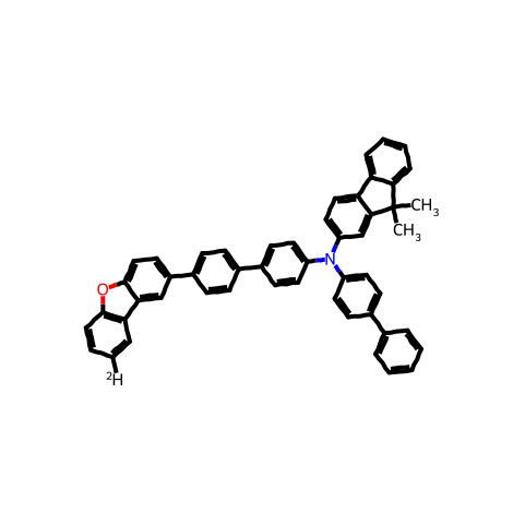 [2H]c1ccc2oc3ccc(-c4ccc(-c5ccc(N(c6ccc(-c7ccccc7)cc6)c6ccc7c(c6)C(C)(C)c6ccccc6-7)cc5)cc4)cc3c2c1